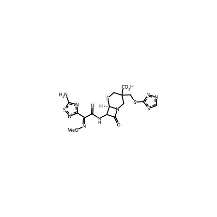 CON=C(C(=O)NC1C(=O)N2CC(CSc3nncs3)(C(=O)O)CS[C@H]12)c1nsc(N)n1